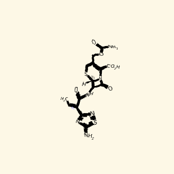 C/C=C(\C(=O)NC1C(=O)N2C(C(=O)O)=C(COC(N)=O)CS[C@@H]12)c1nsc(N)n1